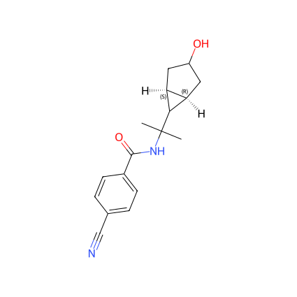 CC(C)(NC(=O)c1ccc(C#N)cc1)C1[C@H]2CC(O)C[C@@H]12